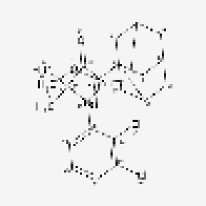 COC(=O)C12CC3CC(C1)C(N1C(=O)C(C)(C)N1c1cccc(Cl)c1Cl)C(C3)C2